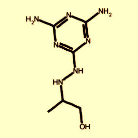 CC(CO)NNc1nc(N)nc(N)n1